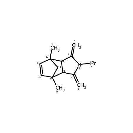 C=C1C2C(C(=C)N1C(C)C)C1(C)C=CC2(C)C1